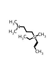 CC=C[Si](C)(CC)CCCN(C)C